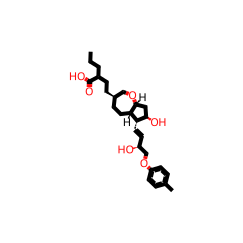 CCCC(CC[C@@H]1CC[C@@H]2[C@@H](/C=C/[C@@H](O)COc3ccc(C)cc3)[C@H](O)C[C@@H]2OC1)C(=O)O